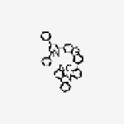 N#Cc1c(-c2ccc3sc4ccc(-c5cc(-c6ccccc6)cc(-c6ccccc6)n5)cc4c3c2)cccc1-n1c2ccccc2c2ccccc21